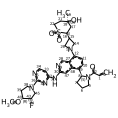 C=CC(=O)N1CCC[C@H]1c1ccc(N2CC([C@@H]3C[C@](C)(O)CCS3(=O)=O)C2)c2cnc(Nc3ccnc(N4CC[C@@H](OC)[C@@H](F)C4)n3)cc12